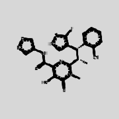 C[C@H](c1nc(C(=O)Nc2cnoc2)c(O)c(=O)n1C)[C@@H](c1ccccc1C#N)c1c[nH]nc1F